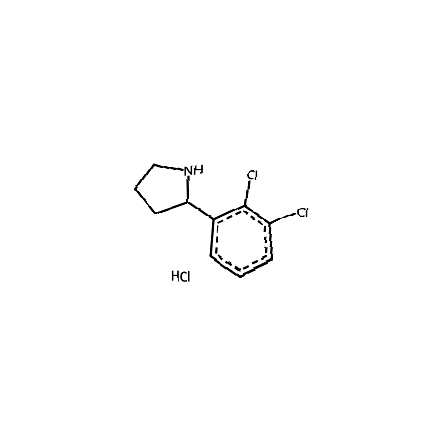 Cl.Clc1cccc(C2CCCN2)c1Cl